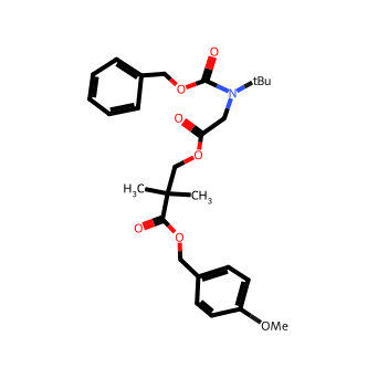 COc1ccc(COC(=O)C(C)(C)COC(=O)CN(C(=O)OCc2ccccc2)C(C)(C)C)cc1